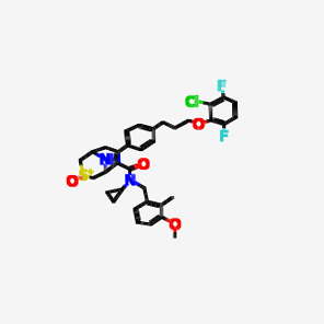 COc1cccc(CN(C(=O)C2=C(c3ccc(CCCOc4c(F)ccc(F)c4Cl)cc3)CC3C[S+]([O-])CC2N3)C2CC2)c1C